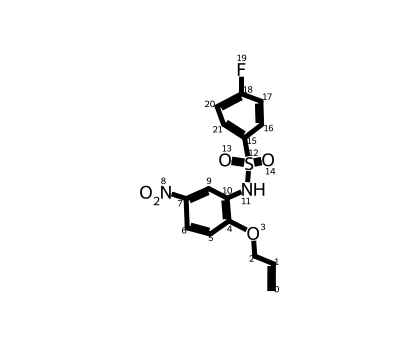 C=CCOc1ccc([N+](=O)[O-])cc1NS(=O)(=O)c1ccc(F)cc1